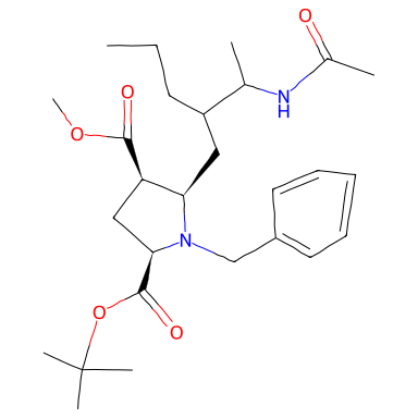 CCCC(C[C@@H]1[C@H](C(=O)OC)C[C@H](C(=O)OC(C)(C)C)N1Cc1ccccc1)C(C)NC(C)=O